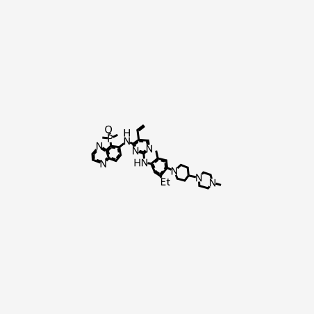 C=Cc1cnc(Nc2cc(CC)c(N3CCC(N4CCN(C)CC4)CC3)cc2C)nc1Nc1ccc2nccnc2c1P(C)(C)=O